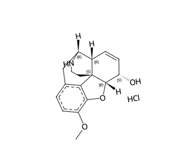 COc1ccc2c3c1O[C@H]1[C@@H](O)C=C[C@H]4[C@@H](C2)NCC[C@@]341.Cl